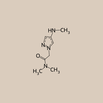 CNc1cnn(CC(=O)N(C)C)c1